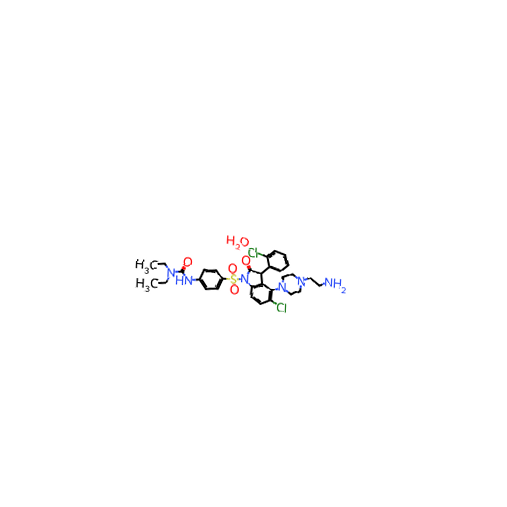 CCN(CC)C(=O)Nc1ccc(S(=O)(=O)N2C(=O)C(c3ccccc3Cl)c3c2ccc(Cl)c3N2CCN(CCN)CC2)cc1.O